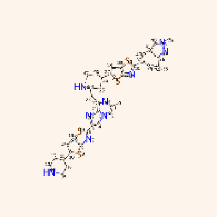 Cc1cn2cc(-c3nc4sc(C5CCNCC5)cc4s3)nc2c(CC2CC(c3cc4sc(-c5cc(C)c6nn(C)cc6c5)nc4s3)CCN2)n1